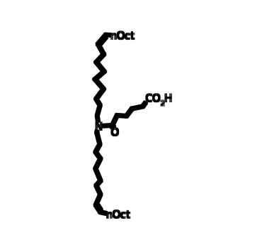 CCCCCCCC/C=C\CCCCCCCCN(CCCCCCCC/C=C\CCCCCCCC)C(=O)CCCCC(=O)O